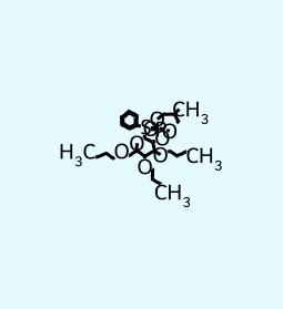 CCCCOCC1OC(Sc2ccccc2)C(OP2(=O)OCC(C)CO2)C(OCCCC)C1OCCCC